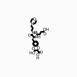 O=C(O)CCC(=O)N[C@@H](Cc1ccc(OC(C(=O)O)C(=O)O)cc1)C(=O)NCCCN1CCOCC1